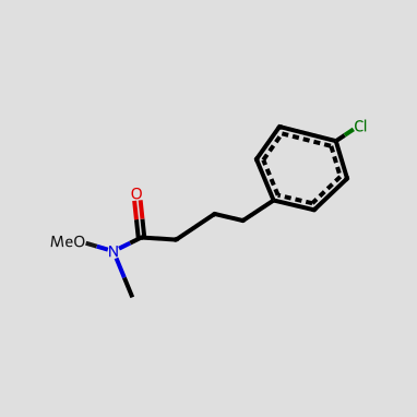 CON(C)C(=O)CCCc1ccc(Cl)cc1